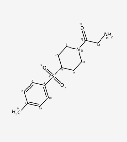 Cc1ccc(S(=O)(=O)C2CCN(C(=O)CN)CC2)cc1